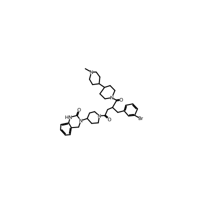 CN1CCC(C2CCN(C(=O)C(CC(=O)N3CCC(N4Cc5ccccc5NC4=O)CC3)Cc3cccc(Br)c3)CC2)CC1